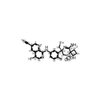 N#Cc1cnc2c(Nc3ccc(F)c([C@@]4(CF)CS(O)(O)C5(CCC5)C(N)=N4)c3)ncc(F)c2c1